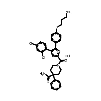 Cl.NCCCOc1ccc(-c2sc(C(=O)N3CCC(C(N)=O)(c4ccccc4)CC3)cc2-c2ccc(Cl)cc2Cl)cc1